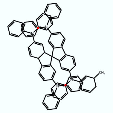 CC1C=C(N(c2ccccc2)c2ccc3c(c2)C2(c4cc(N(c5ccccc5)c5ccccc5)ccc4-3)c3cc(N(c4ccccc4)c4ccccc4)ccc3C3C=CC(N(c4ccccc4)c4ccccc4)=CC32)C=CC1